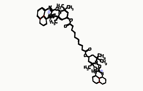 CC1(C)CC(OC(=O)CCCCCCCCC(=O)OC2CC(C)(C)N(O/C(=N/C3CCCCC3)NC3CCCCC3)C(C)(C)C2)CC(C)(C)N1O/C(=N/C1CCCCC1)NC1CCCCC1